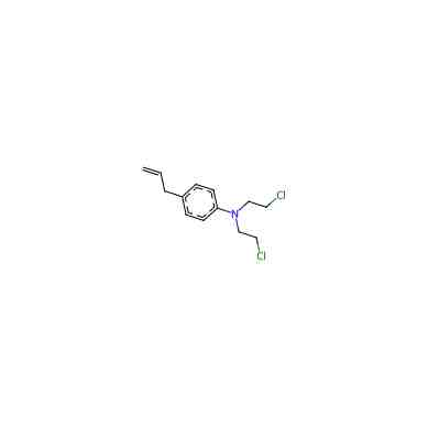 C=CCc1ccc(N(CCCl)CCCl)cc1